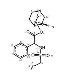 O=C(O[C@H]1CN2CCC1CC2)C(NS(=O)(=O)CC(F)(F)F)c1ccccc1